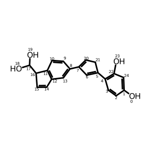 Oc1ccc(C2=CC(c3ccc4c(c3)C=CC4C(O)O)=CC2)c(O)c1